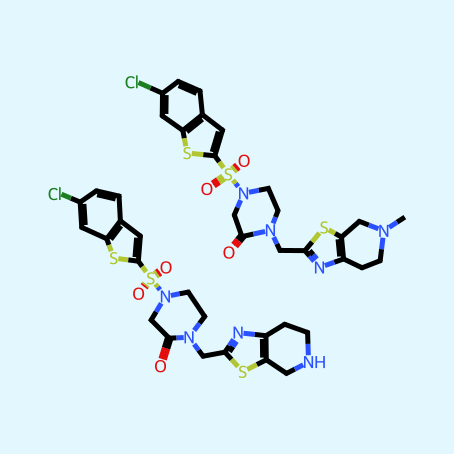 CN1CCc2nc(CN3CCN(S(=O)(=O)c4cc5ccc(Cl)cc5s4)CC3=O)sc2C1.O=C1CN(S(=O)(=O)c2cc3ccc(Cl)cc3s2)CCN1Cc1nc2c(s1)CNCC2